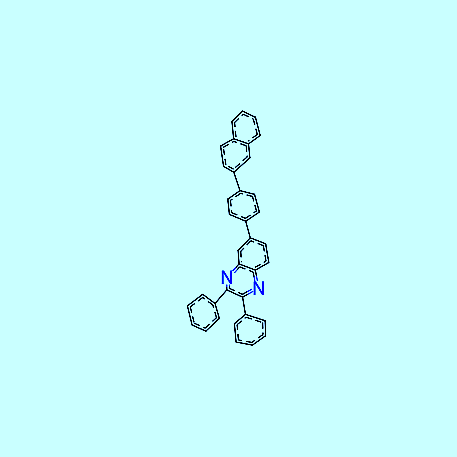 c1ccc(-c2nc3ccc(-c4ccc(-c5ccc6ccccc6c5)cc4)cc3nc2-c2ccccc2)cc1